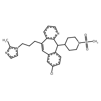 Cc1nccn1CCCC1=Cc2cc(Cl)ccc2C(C2CCN(S(C)(=O)=O)CC2)c2ncccc21